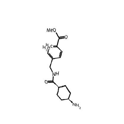 C=C(/C=C\C(=C/C)CNC(=O)[C@H]1CC[C@@H](N)CC1)C(=O)OC